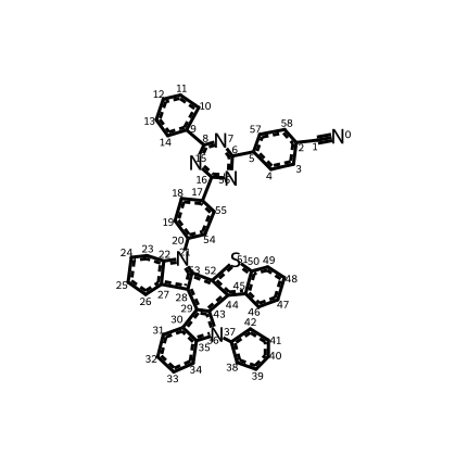 N#Cc1ccc(-c2nc(-c3ccccc3)nc(-c3ccc(-n4c5ccccc5c5c6c7ccccc7n(-c7ccccc7)c6c6c7ccccc7sc6c54)cc3)n2)cc1